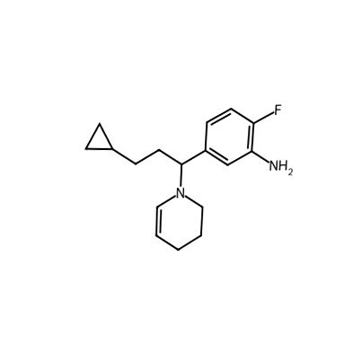 Nc1cc(C(CCC2CC2)N2C=CCCC2)ccc1F